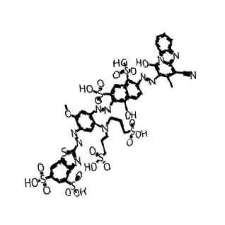 COc1cc(N=Nc2c(S(=O)(=O)O)cc3c(S(=O)(=O)O)c(N=Nc4c(C)c(C#N)c5nc6ccccc6n5c4O)ccc3c2O)c(N(CCCS(=O)(=O)O)CCCS(=O)(=O)O)cc1N=Nc1nc2c(S(=O)(=O)O)cc(S(=O)(=O)O)cc2s1